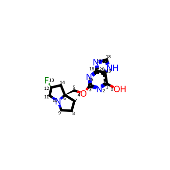 Oc1nc(OC[C@@]23CCCN2C[C@H](F)C3)nc2nc[nH]c12